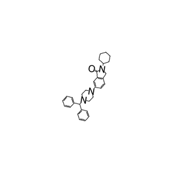 O=C1c2cc(N3CCN(C(c4ccccc4)c4ccccc4)CC3)ccc2CN1C1CCCCC1